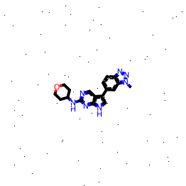 Cn1nnc2ccc(-c3c[nH]c4nc(NC5CCOCC5)ncc34)cc21